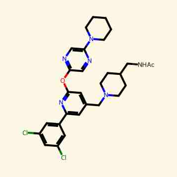 CC(=O)NCC1CCN(Cc2cc(Oc3cnc(N4CCCCC4)cn3)nc(-c3cc(Cl)cc(Cl)c3)c2)CC1